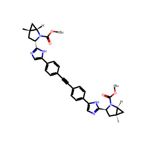 CC(C)(C)OC(=O)N1[C@H]2C[C@@]2(C)C[C@H]1c1ncc(-c2ccc(C#Cc3ccc(-c4cnc([C@@H]5C[C@]6(C)C[C@@H]6N5C(=O)OC(C)(C)C)[nH]4)cc3)cc2)[nH]1